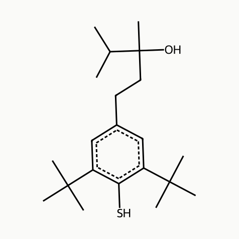 CC(C)C(C)(O)CCc1cc(C(C)(C)C)c(S)c(C(C)(C)C)c1